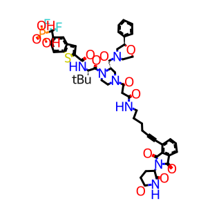 CC(C)(C)[C@H](NC(=O)c1cc2cc(C(F)(F)P(=O)(O)O)ccc2s1)C(=O)N1CCN(C(=O)CC(=O)NCCCCC#Cc2cccc3c2C(=O)N(C2CCC(=O)NC2=O)C3=O)C[C@H]1C(=O)N1CCO[C@H](c2ccccc2)C1